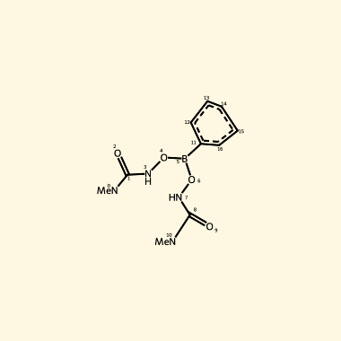 CNC(=O)NOB(ONC(=O)NC)c1ccccc1